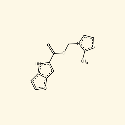 Cc1cccn1COC(=O)c1cc2occc2[nH]1